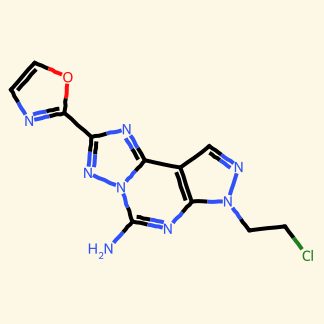 Nc1nc2c(cnn2CCCl)c2nc(-c3ncco3)nn12